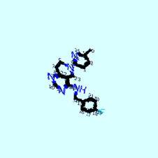 Cc1ccc(N2CCc3ncnc(NCc4ccc(F)cc4)c3C2)nc1